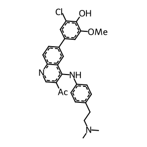 COc1cc(-c2ccc3ncc(C(C)=O)c(Nc4ccc(CCN(C)C)cc4)c3c2)cc(Cl)c1O